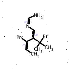 C\C=C(/C(=C\N=C/N)C(C)(C)CC)C(C)C